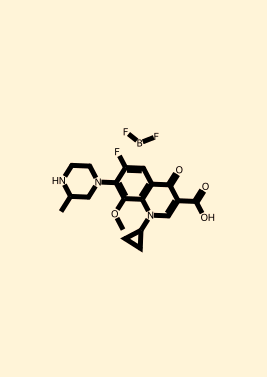 COc1c(N2CCNC(C)C2)c(F)cc2c(=O)c(C(=O)O)cn(C3CC3)c12.F[B]F